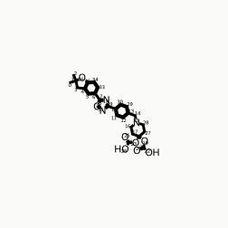 CC1(C)Cc2cc(-c3nc(-c4ccc(CN5CCC(OC(=O)O)(OC(=O)O)CC5)cc4)no3)ccc2O1